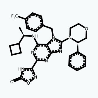 C[C@@H](Nc1nc(-c2noc(=O)[nH]2)nc2nc(N3CCOC[C@H]3c3ccccc3)n(Cc3ccc(C(F)(F)F)cc3)c12)C1CCC1